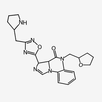 O=C1C2C(c3nc(CC4CCCN4)no3)N=CN2c2ccccc2N1CC1CCCO1